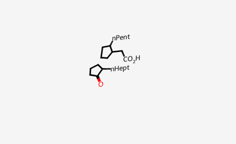 CCCCCC1CCCC1CC(=O)O.CCCCCCCC1CCCC1=O